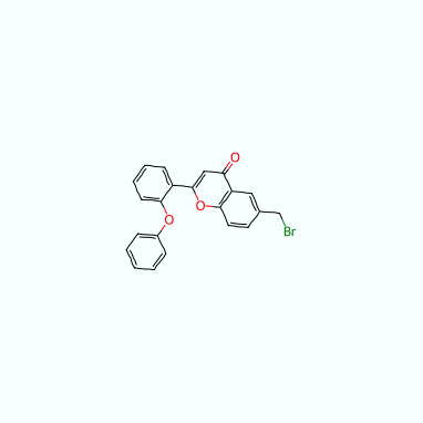 O=c1cc(-c2ccccc2Oc2ccccc2)oc2ccc(CBr)cc12